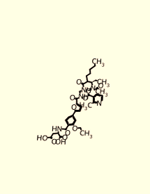 CCCCCC(C(=O)NCNC(=O)c1ccc(-c2ccc(C(=O)NC(CC(=O)O)C(=O)O)c(OCC)c2)o1)[C@@H](CC)N(C=O)OC(=O)c1c(C)ccnc1C